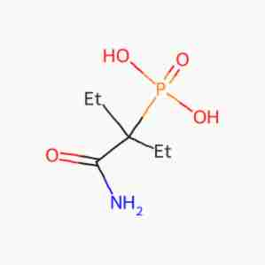 CCC(CC)(C(N)=O)P(=O)(O)O